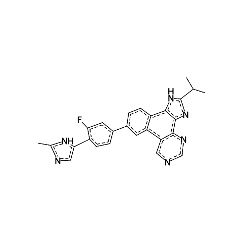 Cc1ncc(-c2ccc(-c3ccc4c(c3)c3cncnc3c3nc(C(C)C)[nH]c43)cc2F)[nH]1